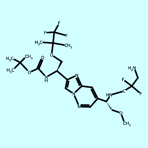 COC[C@@H](NCC(F)(F)CN)c1cnn2cc([C@H](COC(C)(C)C(F)(F)F)NC(=O)OC(C)(C)C)nc2c1